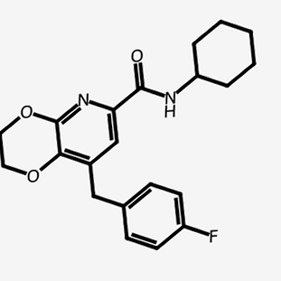 O=C(NC1CCCCC1)c1cc(Cc2ccc(F)cc2)c2c(n1)OCCO2